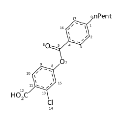 CCCCCc1ccc(C(=O)Oc2ccc(C(=O)O)c(Cl)c2)cc1